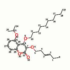 CC/C=C/CCOc1c(OCCCCCCCCCC)c2c(OC(C)C)cccc2oc1=O